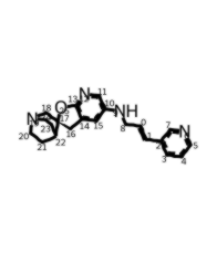 C(=C\c1cccnc1)/CNc1cnc2c(c1)C[C@@]1(CN3CCC1CC3)O2